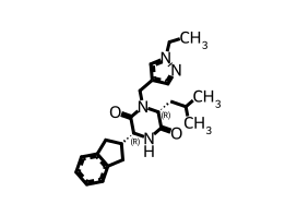 CCn1cc(CN2C(=O)[C@@H](C3Cc4ccccc4C3)NC(=O)[C@H]2CC(C)C)cn1